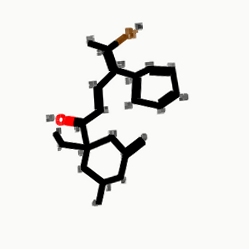 C=C1CC(C)CC(CC)(C(=O)/C=C/C(=C(\C)Br)c2ccccc2)C1